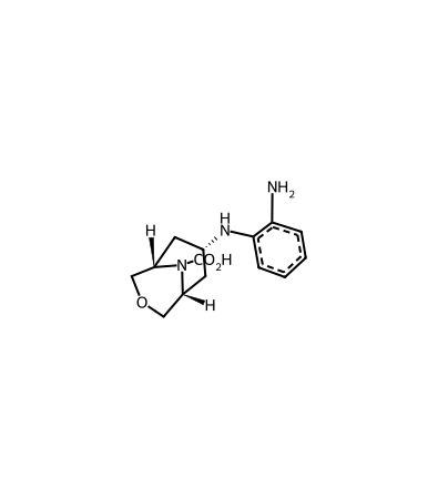 Nc1ccccc1N[C@H]1C[C@H]2COC[C@@H](C1)N2C(=O)O